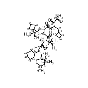 CN1CCN(C[C@@H](NC(=O)N[C@H](C(=O)N2C[C@]3(C[C@H]2C(=O)NC(CC2CCC2)C(=O)C(N)=O)C(C)(C)C32CCC2)C(C)(C)C)C2CCCCC2)C(C)(C)C1